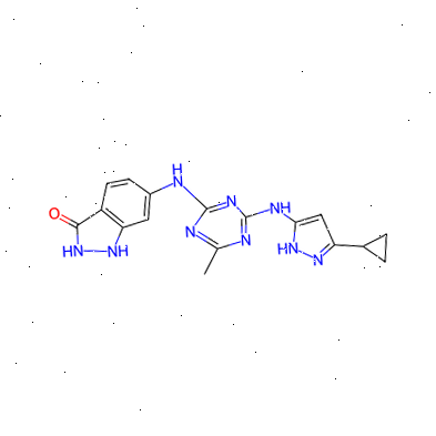 Cc1nc(Nc2ccc3c(=O)[nH][nH]c3c2)nc(Nc2cc(C3CC3)n[nH]2)n1